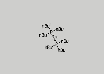 CCCCP(CCCC)(CCCC)=[N+]=P(CCCC)(CCCC)CCCC